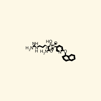 N=C(N)NCCC[C@H](C(N)=O)N(O)S(=O)(=O)c1ccc(Oc2cccc3ccccc23)nc1